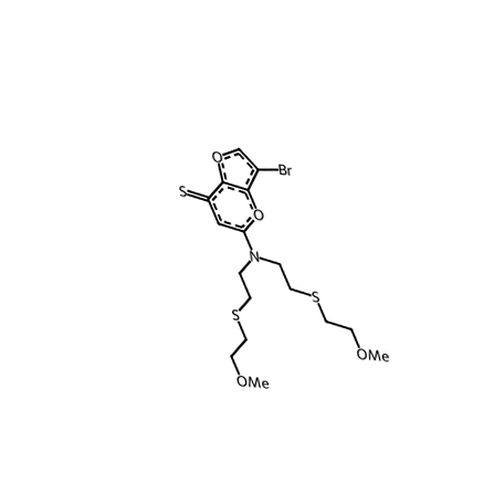 COCCSCCN(CCSCCOC)c1cc(=S)c2occ(Br)c2o1